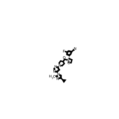 Cc1nc(C2CC2)cn1-c1cc(N2CCC(C(=O)N3OCC[C@H]3c3cc(F)cc(C#N)c3)CC2)ncn1